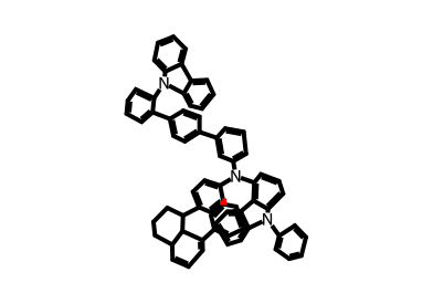 C1=CC2CCCC(c3ccc(N(c4cccc(-c5ccc(-c6ccccc6-n6c7ccccc7c7ccccc76)cc5)c4)c4cccc5c4c4ccccc4n5-c4ccccc4)cc3)C2C(c2ccccc2)=C1